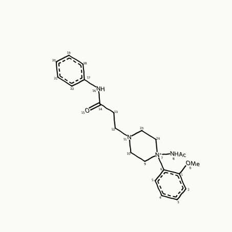 COc1ccccc1[N+]1(NC(C)=O)CCN(CCC(=O)Nc2ccccc2)CC1